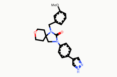 COc1cccc(CN2C(=O)N(c3ccc(-c4cn[nH]c4)cc3)CC23CCOCC3)c1